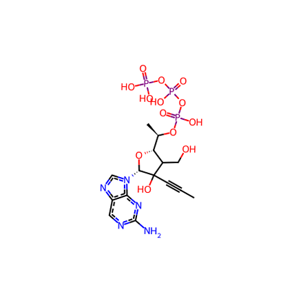 CC#CC1(O)C(CO)[C@@H]([C@@H](C)OP(=O)(O)OP(=O)(O)OP(=O)(O)O)O[C@H]1n1cnc2cnc(N)nc21